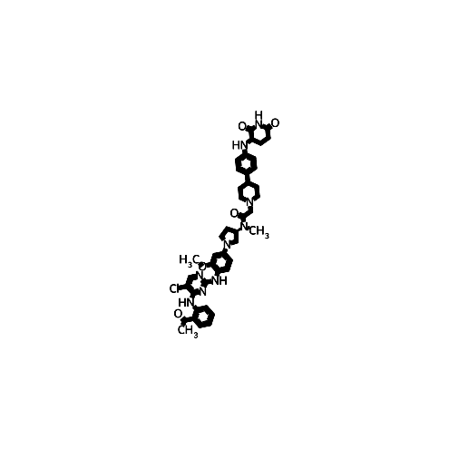 COc1cc(N2CC[C@@H](N(C)C(=O)CN3CCC(c4ccc(NC5CCC(=O)NC5=O)cc4)CC3)C2)ccc1Nc1ncc(Cl)c(Nc2ccccc2C(C)=O)n1